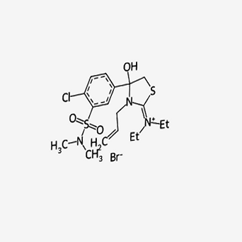 C=CCN1C(=[N+](CC)CC)SCC1(O)c1ccc(Cl)c(S(=O)(=O)N(C)C)c1.[Br-]